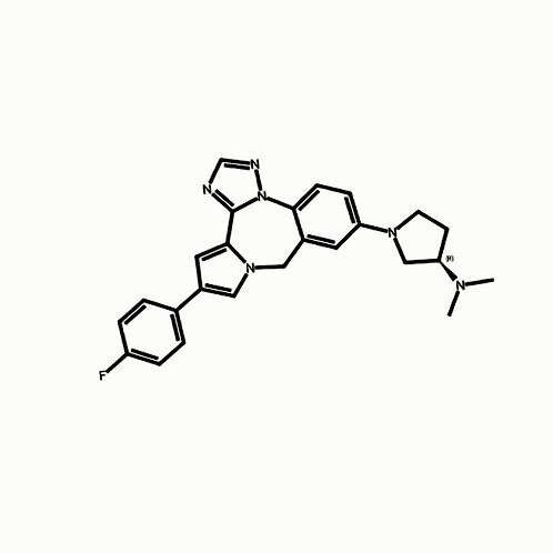 CN(C)[C@@H]1CCN(c2ccc3c(c2)Cn2cc(-c4ccc(F)cc4)cc2-c2ncnn2-3)C1